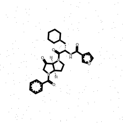 O=C(N[C@@H](CC1CCCCC1)C(=O)N1CC[C@@H]2[C@H]1C(=O)CN2C(=O)c1ccccc1)c1ccoc1